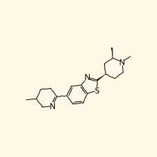 CC1CCC(c2ccc3sc([C@@H]4CCN(C)[C@H](C)C4)nc3c2)=NC1